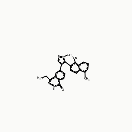 Cc1cccc2c(C#N)c(-c3c(-c4ccc5c(=O)[nH]nc(CN)c5c4)cnn3C)ccc12